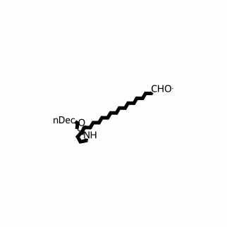 CCCCCCCCCCCC[C@@]1(C(=O)CCCCCCCCCCCCCCC[C]=O)CCCN1